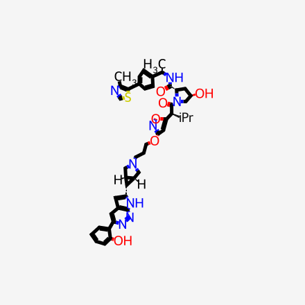 Cc1ncsc1-c1ccc([C@H](C)NC(=O)[C@@H]2C[C@@H](O)CN2C(=O)[C@H](c2cc(OCCCN3C[C@@H]4[C@H](C3)[C@H]4c3cc4cc(-c5ccccc5O)nnc4[nH]3)no2)C(C)C)cc1